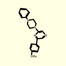 CSc1ccc(-c2cncc(N3CCN(c4ccccc4)CC3)n2)cc1